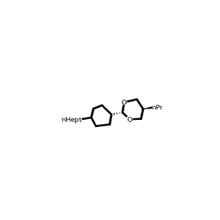 CCCCCCCC1CCC([C@H]2OC[C@H](CCC)CO2)CC1